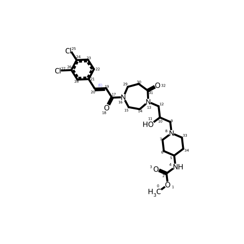 COC(=O)NC1CCN(CC(O)CN2CCN(C(=O)/C=C/c3ccc(Cl)c(Cl)c3)CCC2=O)CC1